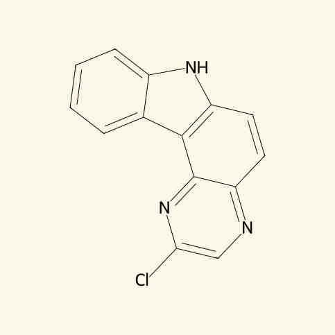 Clc1cnc2ccc3[nH]c4ccccc4c3c2n1